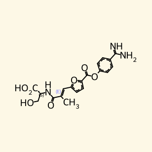 C/C(=C\c1ccc(C(=O)Oc2ccc(C(=N)N)cc2)o1)C(=O)N[C@@H](CO)C(=O)O